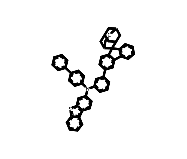 c1ccc(-c2ccc(N(c3cccc(-c4ccc5c(c4)-c4ccccc4C54C5CCC6CC(C5)CC4C6)c3)c3ccc4c(c3)sc3ccccc34)cc2)cc1